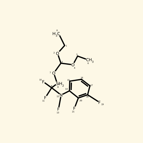 CCOC(OCC)O[SiH2]C(F)(F)N(F)c1cccc(F)c1F